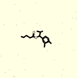 CCCCC(=O)OC(c1ccc(C)c(C)c1)C(C)C